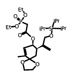 C=C(CO[Si](C(C)C)(C(C)C)C(C)C)[C@H]1CC2(OCCO2)C(C)=C[C@H]1OC(=O)CP(=O)(OCC)OCC